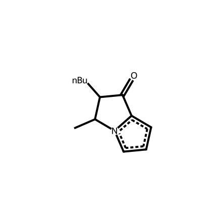 CCCCC1C(=O)c2cccn2C1C